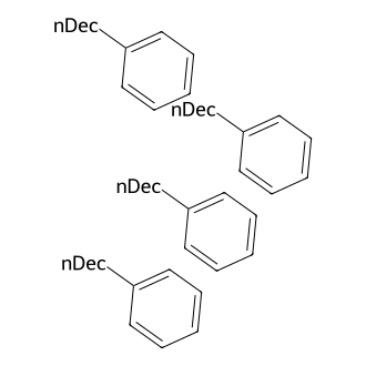 CCCCCCCCCCc1ccccc1.CCCCCCCCCCc1ccccc1.CCCCCCCCCCc1ccccc1.CCCCCCCCCCc1ccccc1